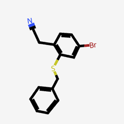 N#CCc1ccc(Br)cc1SCc1ccccc1